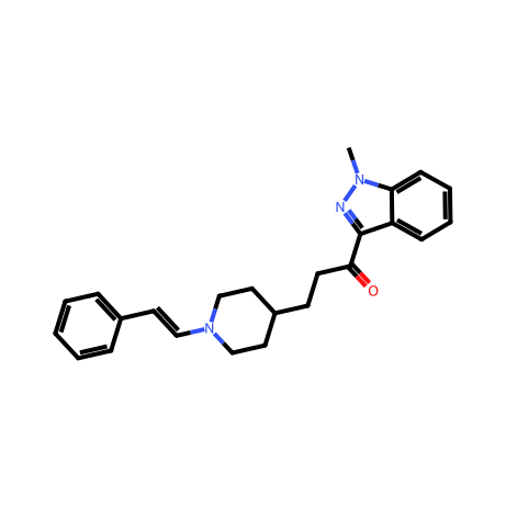 Cn1nc(C(=O)CCC2CCN(C=Cc3ccccc3)CC2)c2ccccc21